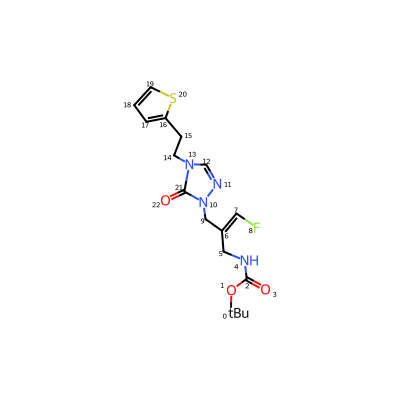 CC(C)(C)OC(=O)NCC(=CF)Cn1ncn(CCc2cccs2)c1=O